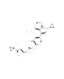 CC1(c2cc(NC(=O)Nc3ncc(-c4cn(C5CC5)c5ncnc(N)c45)cc3F)on2)CC1